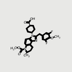 COC(=O)N1c2ccc3c(nc(Cc4cc(F)c(OC)c(F)c4)n3[C@H]3CC[C@H](C(=O)O)CC3)c2CC[C@@H]1C